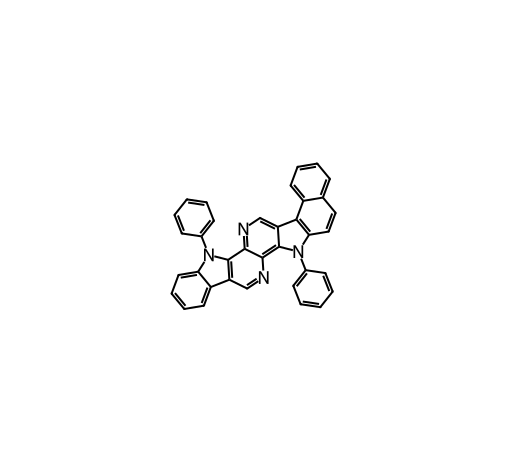 c1ccc(-n2c3ccccc3c3cnc4c(ncc5c6c7ccccc7ccc6n(-c6ccccc6)c54)c32)cc1